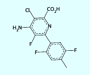 Cc1cc(F)c(-c2nc(C(=O)O)c(Cl)c(N)c2F)cc1F